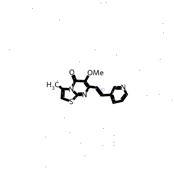 COc1c(/C=C/c2cccnc2)nc2scc(C)n2c1=O